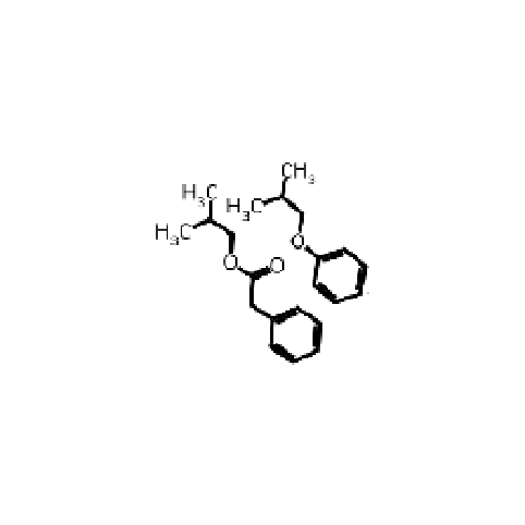 CC(C)COC(=O)Cc1ccccc1.CC(C)COc1cc[c]cc1